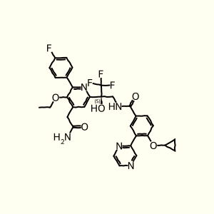 CCOc1c(CC(N)=O)cc([C@@](O)(CNC(=O)c2ccc(OC3CC3)c(-c3cnccn3)c2)C(F)(F)F)nc1-c1ccc(F)cc1